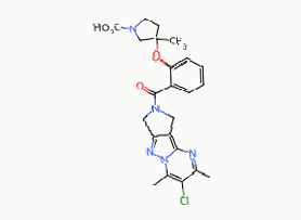 Cc1nc2c3c(nn2c(C)c1Cl)CN(C(=O)c1ccccc1OC1(C(F)(F)F)CCN(C(=O)O)C1)C3